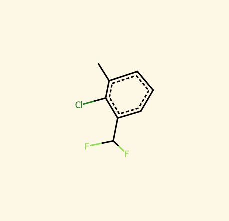 Cc1cccc(C(F)F)c1Cl